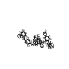 COc1ccc(-n2cnnn2)c(CNC(=O)c2cn(Cc3ccc(Cn4ccccc4=O)cc3)nc2C(F)(F)F)c1